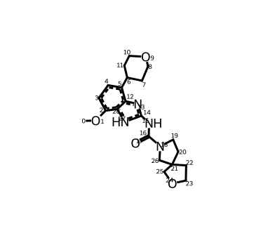 COc1ccc(C2CCOCC2)c2nc(NC(=O)N3CCC4(CCOC4)C3)[nH]c12